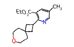 CCOC(=O)c1cc(C)cnc1C1CC2(CCOCC2)C1